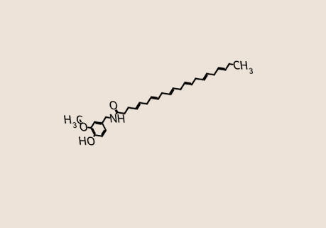 CC/C=C/C/C=C/C/C=C/C/C=C/C/C=C/C/C=C/CCC(=O)NCc1ccc(O)c(OC)c1